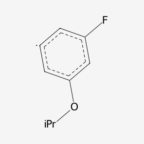 CC(C)Oc1c[c]cc(F)c1